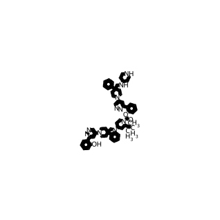 CC(C)(C)C1CC(NCC2(c3ccccc3)CCN(c3cnnc(-c4ccccc4O)c3)CC2)CCN1C(=O)Oc1ccccc1-c1cc(N2CCC(CNC3CCNCC3)(c3ccccc3)CC2)cnn1